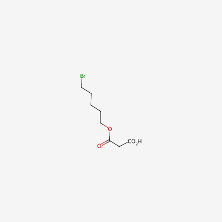 O=C(O)CC(=O)OCCCCCBr